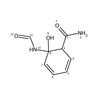 NC(=O)C1C=CC=CC1(O)NC=O